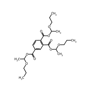 CCCOC(C)OC(=O)c1ccc(C(=O)OC(C)OCCC)c(C(=O)OC(C)OCCC)c1